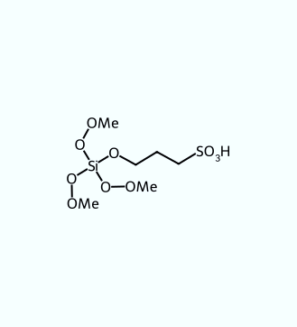 COO[Si](OCCCS(=O)(=O)O)(OOC)OOC